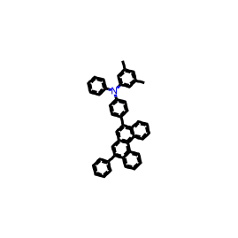 Cc1cc(C)cc(N(c2ccccc2)c2ccc(-c3cc4cc(-c5ccccc5)c5ccccc5c4c4ccccc34)cc2)c1